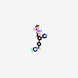 CC(C)(C)OC(=O)NCc1cc2cc(-c3ccc(C(=S)N4CCC(F)(F)CC4)cc3)cc(-c3ccncc3)c2o1